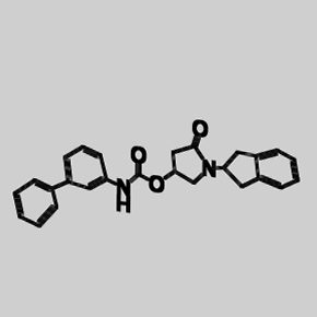 O=C(Nc1cccc(-c2ccccc2)c1)OC1CC(=O)N(C2Cc3ccccc3C2)C1